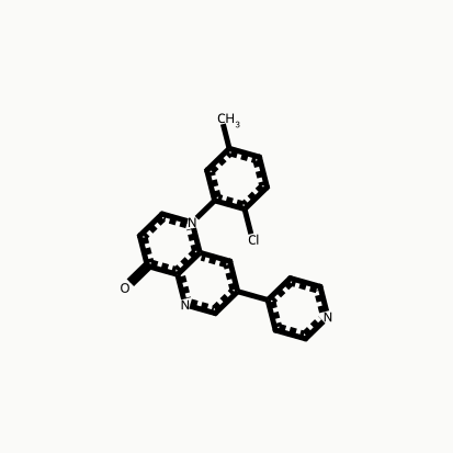 Cc1ccc(Cl)c(-n2ccc(=O)c3ncc(-c4ccncc4)cc32)c1